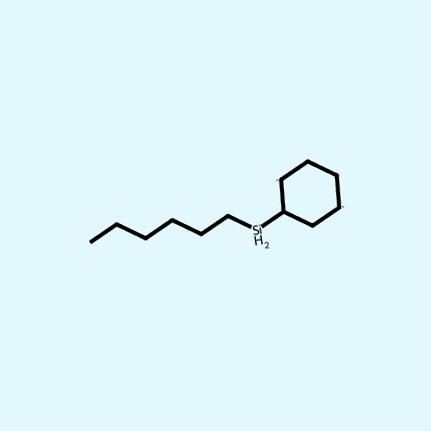 CCCCCC[SiH2]C1[CH]CC[CH]C1